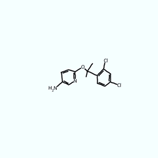 CC(C)(Oc1ccc(N)cn1)c1ccc(Cl)cc1Cl